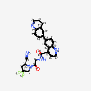 N#C[C@@H]1CC(F)(F)CN1C(=O)CNC(=O)c1ccnc2ccc(-c3ccc4c(c3)CCC=N4)cc12